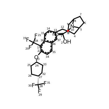 O=C(O)C1CC2CCC(C1)N2CCc1ccc2c(C(F)(F)F)c(O[C@H]3CC[C@@H](C(F)(F)F)CC3)ccc2c1